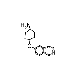 N[C@H]1CC[C@@H](Oc2ccc3cnccc3c2)CC1